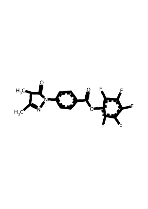 CC1=NN(c2ccc(C(=O)Oc3c(F)c(F)c(F)c(F)c3F)cc2)C(=O)C1C